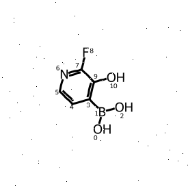 OB(O)c1ccnc(F)c1O